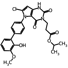 COc1cccc(-c2ccc(-n3c(Cl)cc4[nH]c(=O)n(CCC(=O)OC(C)C)c(=O)c43)cc2)c1O